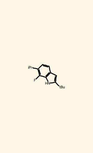 CC(C)c1ccc2cc(C(C)(C)C)[nH]c2c1F